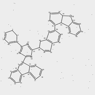 C1=CCCC(c2nc(-c3cc4ccccc4c4ccccc34)nc(C3C=Cc4ccc(C5=CC=CC6Oc7ccccc7C56)cc4C3)n2)=C1